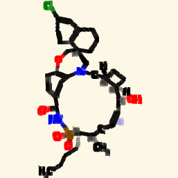 CCCC[C@H]1[C@@H](C)C/C=C\[C@@H](O)[C@@H]2CC[C@H]2CN2C[C@@]3(CCCc4cc(Cl)ccc43)COc3ccc(cc32)C(=O)NS1(=O)=O